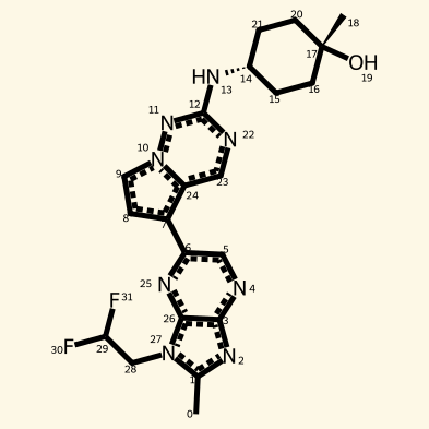 Cc1nc2ncc(-c3ccn4nc(N[C@H]5CC[C@@](C)(O)CC5)ncc34)nc2n1CC(F)F